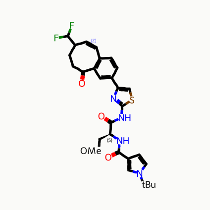 COC[C@H](NC(=O)c1ccn(C(C)(C)C)c1)C(=O)Nc1nc(-c2ccc3c(c2)C(=O)CCC(C(F)F)/C=C\3)cs1